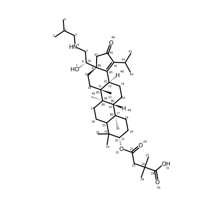 CC(C)CNC[C@@H](O)[C@@]12CC[C@]3(C)[C@H](CC[C@@H]4[C@@]5(C)CC[C@H](OC(=O)CC(C)(C)C(=O)O)C(C)(C)C5CC[C@]43C)C1=C(C(C)C)C(=O)C2